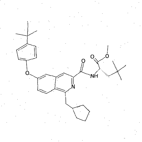 COC(=O)[C@H](CC(C)(C)C)NC(=O)c1cc2cc(Oc3ccc(C(C)(C)C)cc3)ccc2c(CC2CCCC2)n1